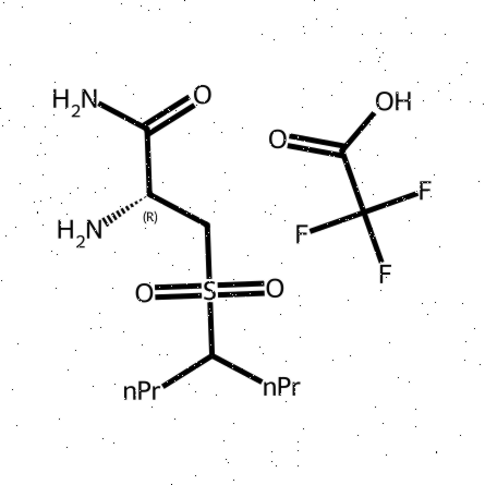 CCCC(CCC)S(=O)(=O)C[C@H](N)C(N)=O.O=C(O)C(F)(F)F